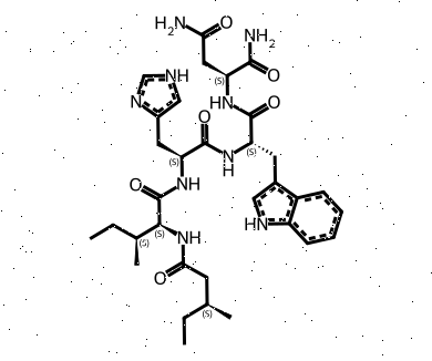 CC[C@H](C)CC(=O)N[C@H](C(=O)N[C@@H](Cc1c[nH]cn1)C(=O)N[C@@H](Cc1c[nH]c2ccccc12)C(=O)N[C@@H](CC(N)=O)C(N)=O)[C@@H](C)CC